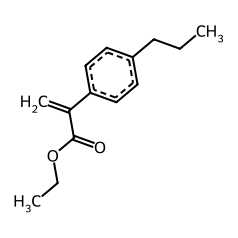 C=C(C(=O)OCC)c1ccc(CCC)cc1